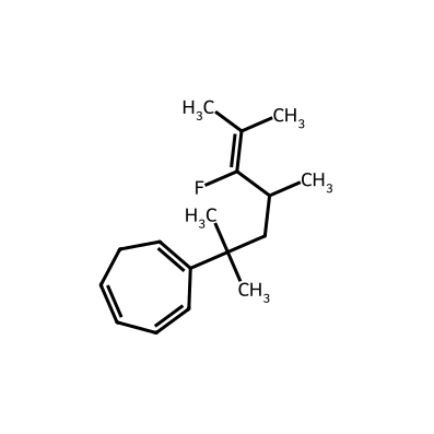 CC(C)=C(F)C(C)CC(C)(C)C1=CCC=CC=C1